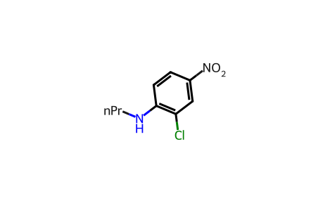 CCCNc1ccc([N+](=O)[O-])cc1Cl